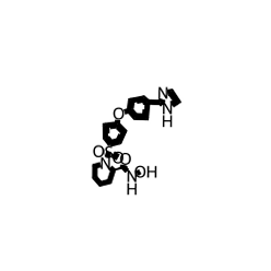 O=C(NO)[C@H]1CCCCN1S(=O)(=O)c1ccc(Oc2ccc(-c3ncc[nH]3)cc2)cc1